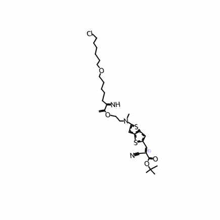 C=C(OCCN(C)c1cc2sc(/C=C(\C#N)C(=O)OC(C)(C)C)cc2s1)C(=N)CCCCCOCCCCCCCl